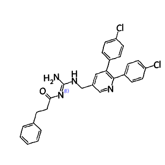 N/C(=N\C(=O)CCc1ccccc1)NCc1cnc(-c2ccc(Cl)cc2)c(-c2ccc(Cl)cc2)c1